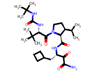 CC(C)C1CCN(C(=O)[C@@H](NC(=O)NC(C)(C)C)C(C)(C)C)[C@@H]1C(=O)N[C@@H](CC1CCC1)C(=O)C(N)=O